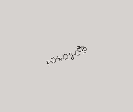 CN(C)c1ccc(/N=N/c2ccc(OC(=O)c3ccc(-c4ncco4)c(O)c3)cc2)cc1